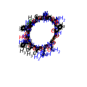 CCCC[C@H]1C(=O)N(C)[C@@H](CCCC)C(=O)N[C@@H](CCCNC(=N)N)C(=O)N[C@H](C(=O)NCC(N)=O)CSCC(=O)N[C@H]2Cc3ccccc3N(C2=O)[C@@H](C)C(=O)N[C@@H](CC(N)=O)C(=O)N2CCC[C@H]2C(=O)N[C@@H](Cc2cnc[nH]2)C(=O)N[C@@H](CC(C)C)C(=O)N2CC(F)(F)C[C@H]2C(=O)N[C@@H](Cc2c[nH]c3ccccc23)C(=O)N[C@@H](CO)C(=O)N[C@@H](Cc2c[nH]c3ccccc23)C(=O)N1C